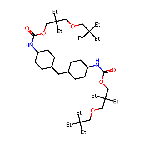 CCC(CC)(CC)COCC(CC)(CC)COC(=O)NC1CCC(CC2CCC(NC(=O)OCC(CC)(CC)COCC(CC)(CC)CC)CC2)CC1